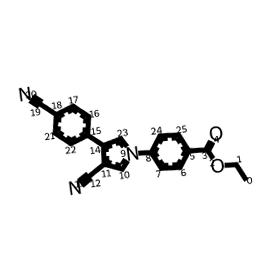 CCOC(=O)c1ccc(-n2cc(C#N)c(-c3ccc(C#N)cc3)c2)cc1